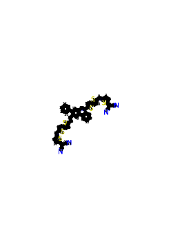 N#CC(C#N)=c1cc/c(=C/c2cc3sc(/C=C/c4cc(-c5ccccc5)c(CCc5cc6sc(/C=c7/ccc(=C(C#N)C#N)s7)cc6s5)cc4-c4ccccc4)cc3s2)s1